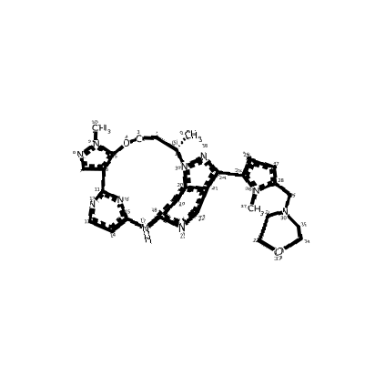 C[C@H]1CCOc2c(cnn2C)-c2nccc(n2)Nc2cc3c(cn2)c(-c2ccc(CN4CCOCC4)n2C)nn31